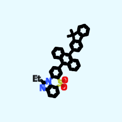 CCc1nc2cccc3c2n1-c1ccc(-c2c4ccccc4c(-c4ccc5c(c4)C(C)(C)c4ccccc4-5)c4ccccc24)cc1S3(=O)=O